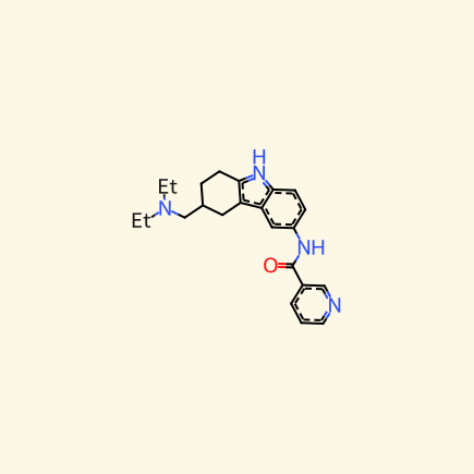 CCN(CC)CC1CCc2[nH]c3ccc(NC(=O)c4cccnc4)cc3c2C1